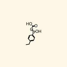 CCc1ccc(B(O)OC(=O)O)cc1